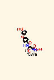 COCOCC(CC(C)C(=O)NO)NC(=O)c1ccc(Oc2cccc(O)c2)cc1